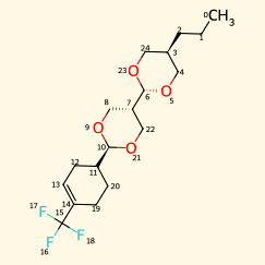 CCC[C@H]1CO[C@H]([C@H]2CO[C@H](C3CC=C(C(F)(F)F)CC3)OC2)OC1